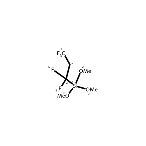 CO[Si](OC)(OC)C(F)(F)CC(F)(F)F